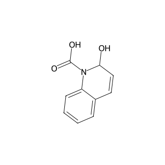 O=C(O)N1c2ccccc2C=CC1O